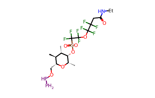 CCNC(=O)CC(F)(F)C(F)(F)OC(F)(F)C(F)(F)S(=O)(=O)O[C@H]1[C@@H](C)[C@H](C)[C@@H](COPP)O[C@H]1C